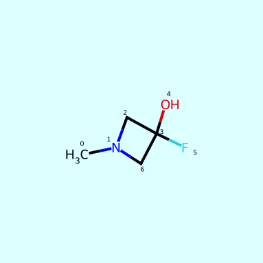 CN1CC(O)(F)C1